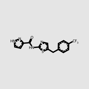 O=C(Nc1ncc(Cc2ccc(C(F)(F)F)cc2)s1)c1cc[nH]n1